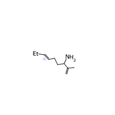 C=C(C)C(N)CC/C=C/CC